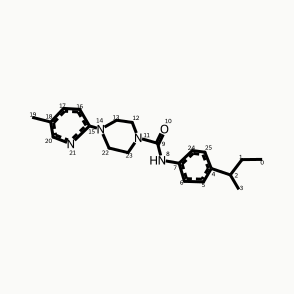 CCC(C)c1ccc(NC(=O)N2CCN(c3ccc(C)cn3)CC2)cc1